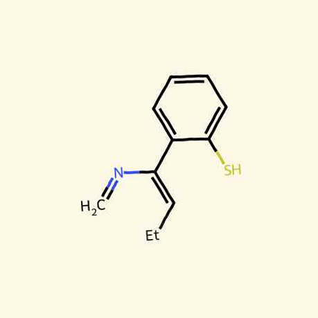 C=N/C(=C\CC)c1ccccc1S